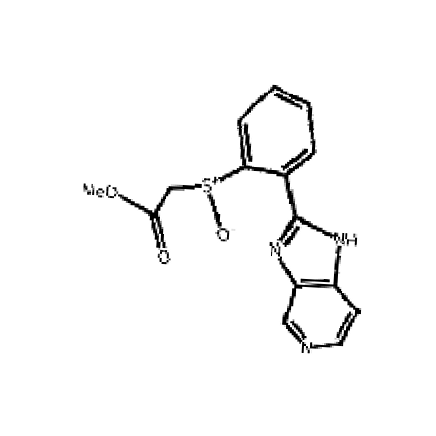 COC(=O)C[S+]([O-])c1ccccc1-c1nc2cnccc2[nH]1